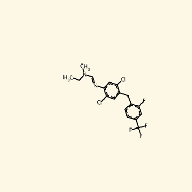 CCN(C)C=Nc1cc(Cl)c(Cc2ccc(C(F)(F)F)cc2F)cc1Cl